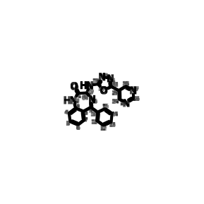 O=C1Nc2ccccc2C(c2ccccc2)=N[C@@H]1Nc1nnc(-c2cncnc2)o1